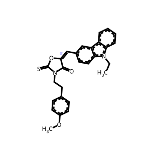 CCn1c2ccccc2c2cc(/C=C3/OC(=S)N(CCc4ccc(OC)cc4)C3=O)ccc21